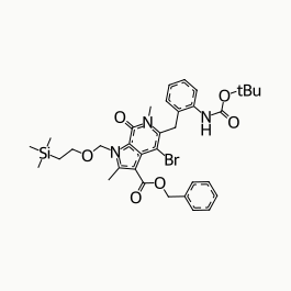 Cc1c(C(=O)OCc2ccccc2)c2c(Br)c(Cc3ccccc3NC(=O)OC(C)(C)C)n(C)c(=O)c2n1COCC[Si](C)(C)C